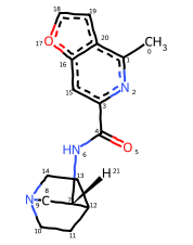 Cc1nc(C(=O)N[C@H]2CN3CCC2CC3)cc2occc12